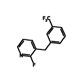 Fc1ncccc1Cc1cccc(C(F)(F)F)c1